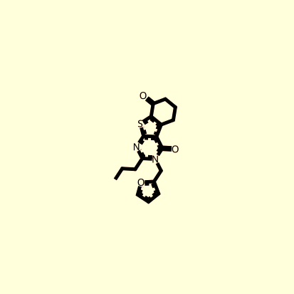 CCCc1nc2sc3c(c2c(=O)n1Cc1ccco1)CCCC3=O